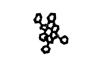 c1ccc(-c2ccc3c4c5c(ccc4n(-c4ccccc4)c3c2)c2ccccc2n2c(-c3ccccc3)nc(-c3ccccc3)c52)cc1